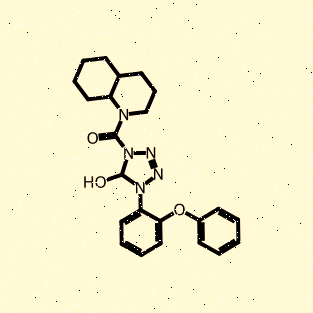 O=C(N1CCCC2CCCCC21)N1N=NN(c2ccccc2Oc2ccccc2)C1O